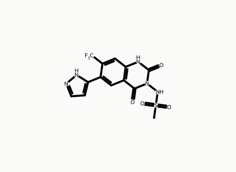 CS(=O)(=O)Nn1c(=O)[nH]c2cc(C(F)(F)F)c(-c3ccn[nH]3)cc2c1=O